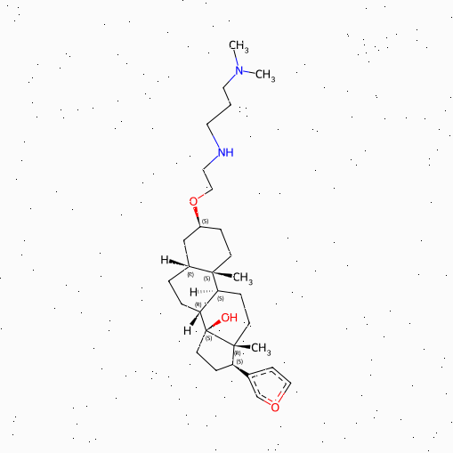 CN(C)CCCNCCO[C@H]1CC[C@@]2(C)[C@H](CC[C@@H]3[C@@H]2CC[C@]2(C)[C@@H](c4ccoc4)CC[C@]32O)C1